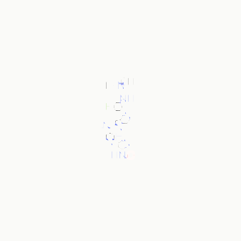 CN(C)CCNc1cc(F)cc(-c2nccc3[nH]c(C4=NCCc5cnc(-c6cncc(NC(=O)CC7CCCCC7)c6)cc54)cc23)c1